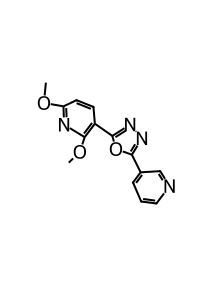 COc1ccc(-c2nnc(-c3cccnc3)o2)c(OC)n1